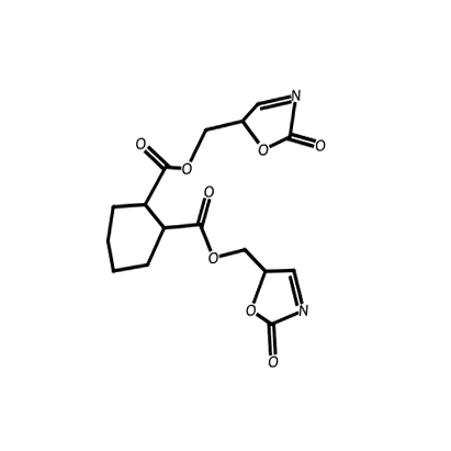 O=C1N=CC(COC(=O)C2CCCCC2C(=O)OCC2C=NC(=O)O2)O1